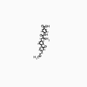 COCCN1CCN(c2ccc(CC(N)C(=O)Nc3ccc(C(=O)O)cc3)cc2)C(=O)C1